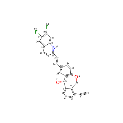 C#Cc1cccc2c1COc1ccc(C=Cc3ccc4cc(F)c(F)cc4n3)cc1C2=O